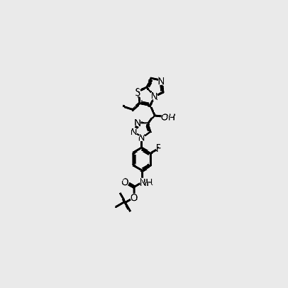 CCc1sc2cncn2c1C(O)c1cn(-c2ccc(NC(=O)OC(C)(C)C)cc2F)nn1